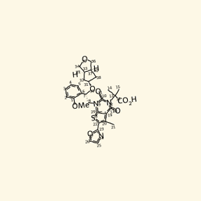 COc1ccccc1[C@@H](Cn1c(=O)n(C(C)(C)C(=O)O)c(=O)c2c(C)c(-c3ncco3)sc21)O[C@H]1C[C@H]2COC[C@H]2C1